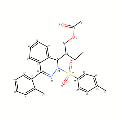 CCC(COC(C)=O)C1c2ccccc2C(c2ccccc2C)=NN1S(=O)(=O)c1ccc(C)cc1